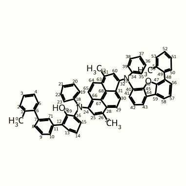 Cc1ccccc1-c1cccc(-c2cccc(N(c3ccccc3)c3cc(C)c4ccc5c(N(c6ccccc6)c6cccc7c6oc6c(-c8ccccc8C)cccc67)cc(C)c6ccc3c4c65)c2O)c1